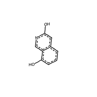 Oc1cc2cccc(O)c2cn1